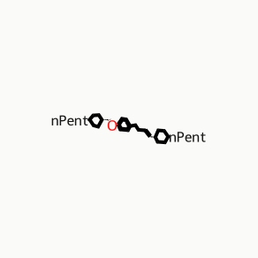 CCCCC[C@H]1CC[C@H](C=CCCc2ccc(OC[C@H]3CC[C@H](CCCCC)CC3)cc2)CC1